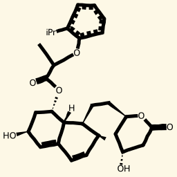 CC(Oc1ccccc1C(C)C)C(=O)O[C@H]1C[C@H](O)C=C2C=C[C@H](C)[C@H](CC[C@@H]3C[C@@H](O)CC(=O)O3)[C@H]21